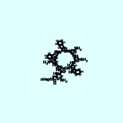 CCCCCCC[C@@H](O)CC(=O)N[C@H](CCN)C(=O)N[C@H]1CCNC(=O)[C@H](Cc2c[nH]c3ccccc23)NC(=O)[C@H](CCN)NC(=O)[C@H](CCN)NC(=O)C(C2Cc3ccccc3C2)NC(=O)[C@@H](Cc2ccccc2)NC(=O)[C@H](CCN)NC1=O